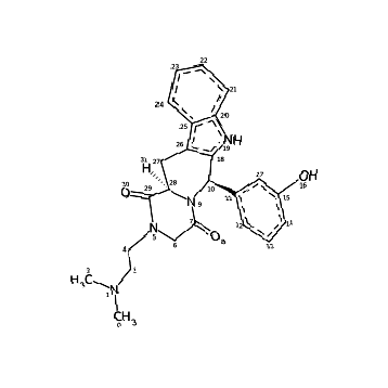 CN(C)CCN1CC(=O)N2[C@H](c3cccc(O)c3)c3[nH]c4ccccc4c3C[C@@H]2C1=O